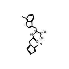 Cc1cccc2c(C[C@H](NC(=O)Cc3ccccc3C#N)B(O)O)coc12